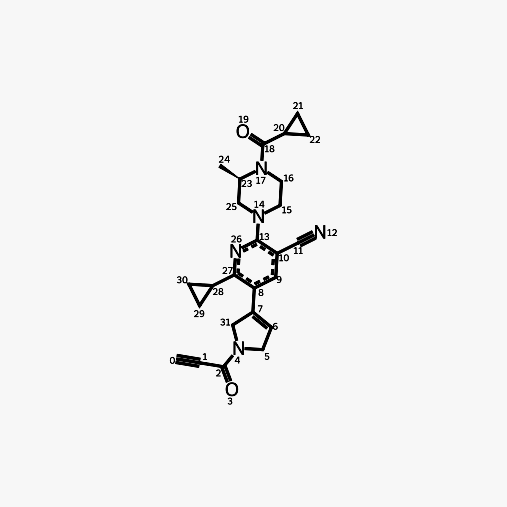 C#CC(=O)N1CC=C(c2cc(C#N)c(N3CCN(C(=O)C4CC4)[C@H](C)C3)nc2C2CC2)C1